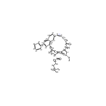 CCCC[C@@H]1NC(=O)OC/C=C\c2ccc3nc(-c4ccccc4)cc(c3c2)O[C@@H]2C[C@@H](C(=O)OCC[Si](C)(C)C)N(C2)C1=O